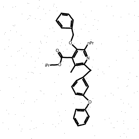 CCCc1nc(Cc2cccc(Oc3ccccc3)c2)c(C)c(C(=O)OC(C)C)c1OCc1ccccc1